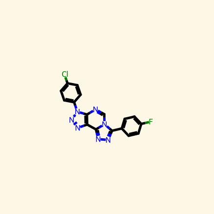 Fc1ccc(-c2nnc3c4nnn(-c5ccc(Cl)cc5)c4ncn23)cc1